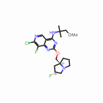 COCC(C)(C)Nc1nc(OC[C@@]23CCCN2C[C@H](F)C3)nc2c(F)c(Cl)ncc12